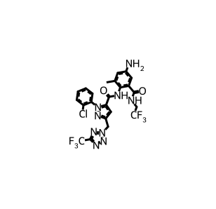 Cc1cc(N)cc(C(=O)NCC(F)(F)F)c1NC(=O)c1cc(Cn2nnc(C(F)(F)F)n2)nn1-c1ccccc1Cl